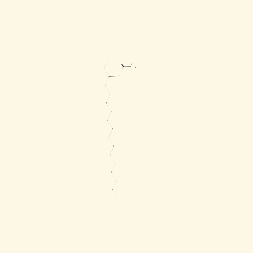 CCCCCCCCCCCCCCC(CC)CC(N)=O